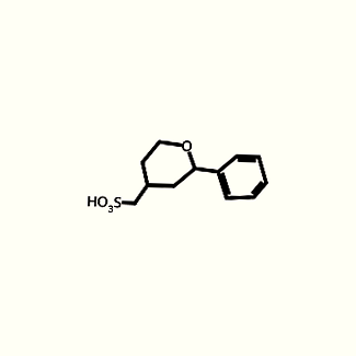 O=S(=O)(O)CC1CCOC(c2ccccc2)C1